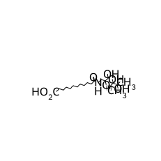 CC(O)C(O)[C@H](C)OC(CO)CNC(=O)CCCCCCCCCCC(=O)O